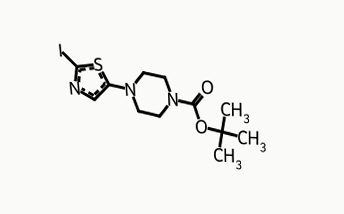 CC(C)(C)OC(=O)N1CCN(c2cnc(I)s2)CC1